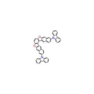 c1ccc2c(c1)c1ccccc1n2-c1ccc2cc3c(cc2c1)oc1ccc2oc4cc5cc(-n6c7ccccc7c7ccccc76)ccc5cc4c2c13